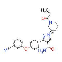 C=CC(=O)N1CCC[C@@H](n2cc(C(N)=O)c(-c3ccc(Oc4cccc(C#N)c4)cc3)n2)C1